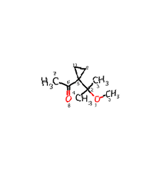 COC(C)(C)C1(C(C)=O)CC1